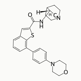 O=C(N[C@H]1CN2CCC1CC2)c1cc2cccc(-c3ccc(N4CCOCC4)cc3)c2s1